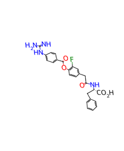 N=C(N)Nc1ccc(C(=O)Oc2ccc(CC(=O)N[C@@H](Cc3ccccc3)C(=O)O)cc2F)cc1